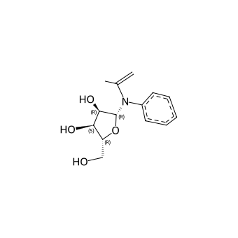 C=C(C)N(c1ccccc1)[C@@H]1O[C@H](CO)[C@@H](O)[C@H]1O